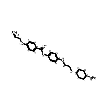 C=CCOc1ccc(C(=O)Oc2ccc(OCCC[C@H]3CC[C@H](CCCCC)CC3)cc2)cc1